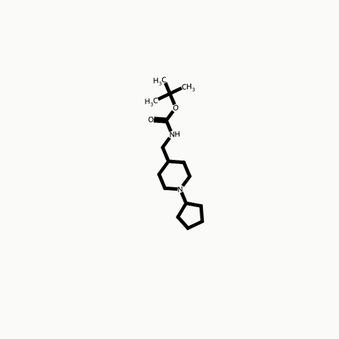 CC(C)(C)OC(=O)NCC1CCN(C2CCCC2)CC1